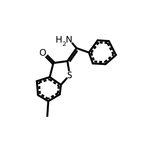 Cc1ccc2c(c1)S/C(=C(/N)c1ccccc1)C2=O